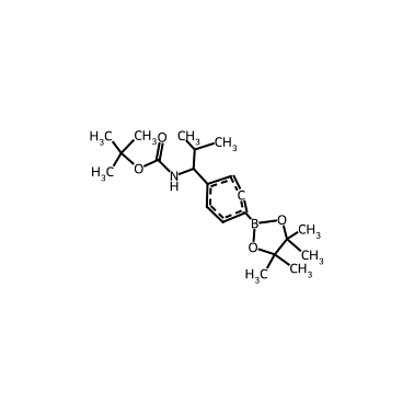 CC(C)C(NC(=O)OC(C)(C)C)c1ccc(B2OC(C)(C)C(C)(C)O2)cc1